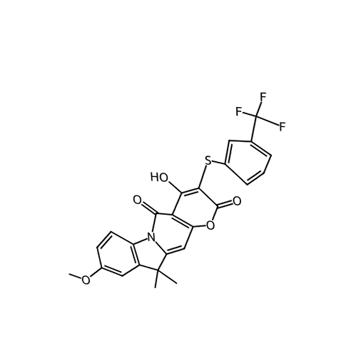 COc1ccc2c(c1)C(C)(C)c1cc3oc(=O)c(Sc4cccc(C(F)(F)F)c4)c(O)c3c(=O)n1-2